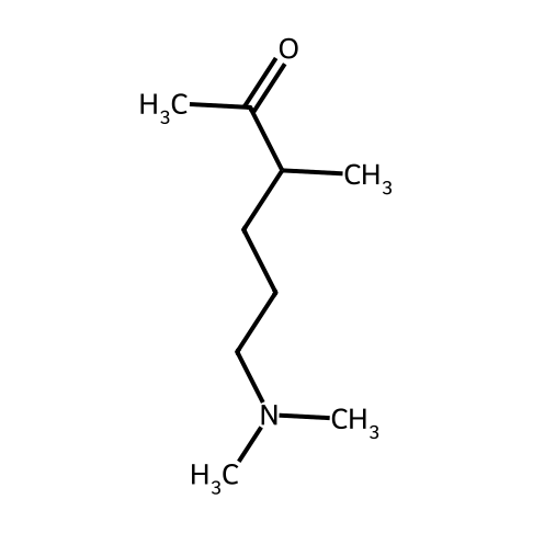 CC(=O)C(C)CCCN(C)C